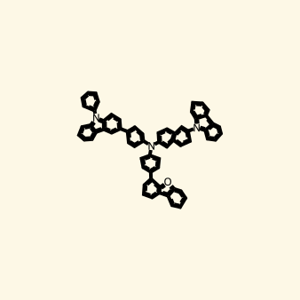 c1ccc(-n2c3ccccc3c3cc(-c4ccc(N(c5ccc(-c6cccc7c6oc6ccccc67)cc5)c5ccc6cc(-n7c8ccccc8c8ccccc87)ccc6c5)cc4)ccc32)cc1